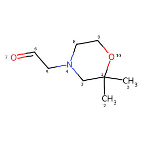 CC1(C)CN(CC=O)CCO1